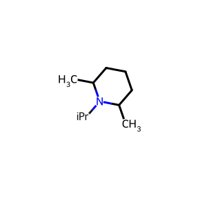 CC(C)N1C(C)CCCC1C